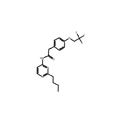 CCCCc1nccc(NC(=O)Cc2ccc(OCC(F)(F)F)cc2)n1